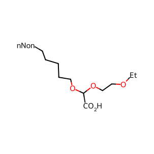 CCCCCCCCCCCCCCOC(OCCOCC)C(=O)O